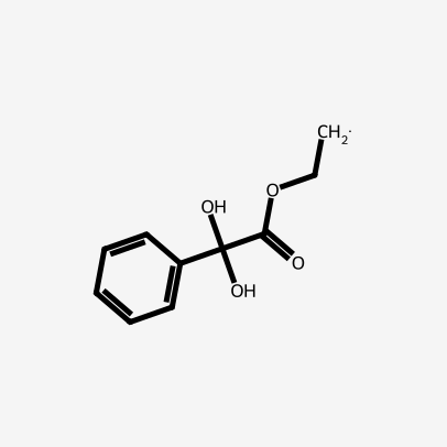 [CH2]COC(=O)C(O)(O)c1ccccc1